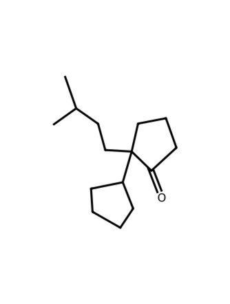 CC(C)CCC1(C2CCCC2)CCCC1=O